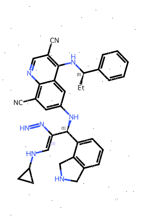 CC[C@@H](Nc1c(C#N)cnc2c(C#N)cc(N[C@H](/C(=C/NC3CC3)N=N)c3cccc4c3CNC4)cc12)c1ccccc1